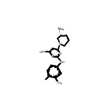 CCCc1cc(N2CCC[C@@H](NC)C2)nc(Nc2ccc(C)c(C#N)c2)n1